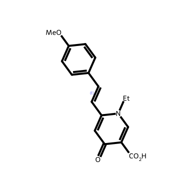 CCn1cc(C(=O)O)c(=O)cc1/C=C/c1ccc(OC)cc1